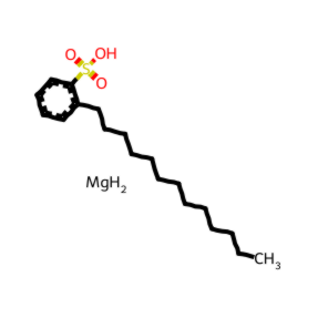 CCCCCCCCCCCCCc1ccccc1S(=O)(=O)O.[MgH2]